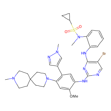 COc1cc(N2CCC3(CCN(C)CC3)CC2)c(-c2cnn(C)c2)cc1Nc1ncc(Br)c(Nc2ccccc2N(C)S(=O)(=O)C2CC2)n1